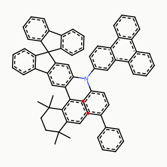 CC1(C)CCC(C)(C)c2c(-c3cc4c(cc3N(c3ccc(-c5ccccc5)cc3)c3ccc5c6ccccc6c6ccccc6c5c3)C3(c5ccccc5-c5ccccc53)c3ccccc3-4)cccc21